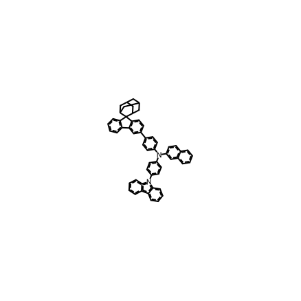 c1ccc2c(c1)-c1cc(-c3ccc(N(c4ccc(-n5c6ccccc6c6ccccc65)cc4)c4ccc5ccccc5c4)cc3)ccc1C21C2CC3CC(C2)CC1C3